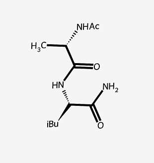 CC[C@H](C)[C@H](NC(=O)[C@H](C)NC(C)=O)C(N)=O